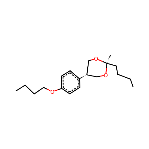 CCCCOc1ccc([C@H]2CO[C@](C)(CCCC)OC2)cc1